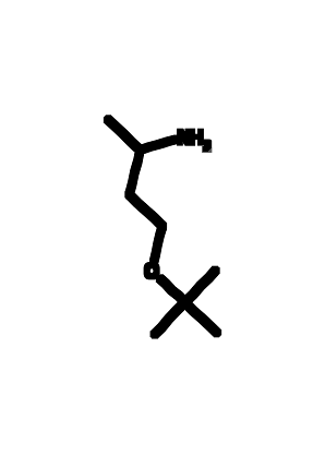 CC(N)CCOC(C)(C)C